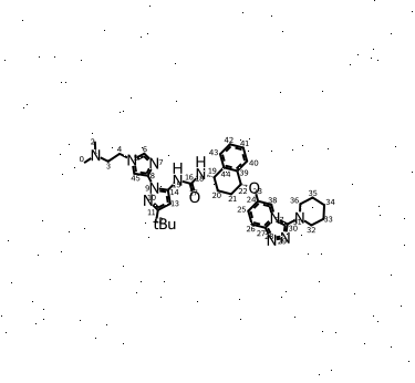 CN(C)CCn1cnc(-n2nc(C(C)(C)C)cc2NC(=O)N[C@H]2CC[C@@H](Oc3ccc4nnc(N5CCCCC5)n4c3)c3ccccc32)c1